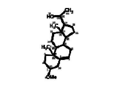 CO[C@H]1CC[C@@]2(C)C(=CCC3C4CCC([C@H](C)O)[C@@]4(C)CCC32)C1